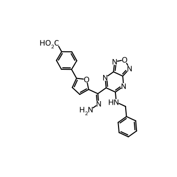 NN=C(c1ccc(-c2ccc(C(=O)O)cc2)o1)c1nc2nonc2nc1NCc1ccccc1